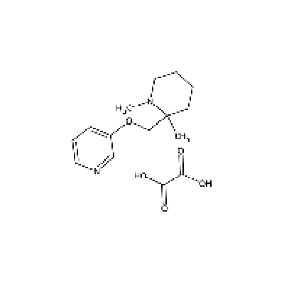 CN1CCCCC1(C)COc1cccnc1.O=C(O)C(=O)O